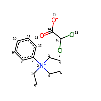 CC[N+](CC)(CC)c1ccccc1.O=C([O-])C(Cl)Cl